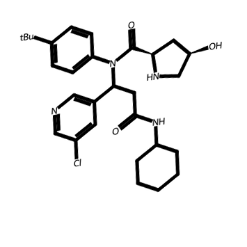 CC(C)(C)c1ccc(N(C(=O)[C@H]2C[C@@H](O)CN2)C(CC(=O)NC2CCCCC2)c2cncc(Cl)c2)cc1